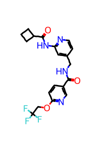 O=C(NCc1ccnc(NC(=O)C2CCC2)c1)c1ccc(OCC(F)(F)F)nc1